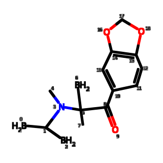 BC(B)N(C)C(B)(C)C(=O)c1ccc2c(c1)OCO2